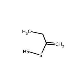 C=C(CC)SS